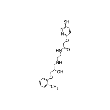 Cc1ccccc1OCC(O)CNCCNC(=O)COc1ccc(S)nn1